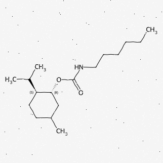 CCCCCCNC(=O)O[C@@H]1CC(C)CC[C@H]1C(C)C